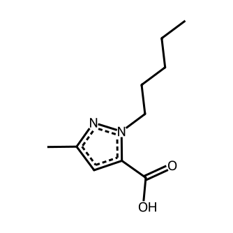 CCCCCn1nc(C)cc1C(=O)O